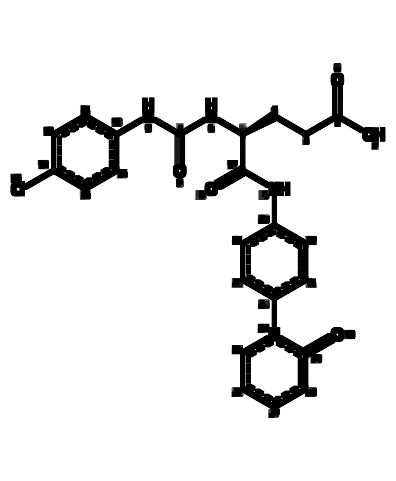 O=C(O)CC[C@H](NC(=O)Nc1ccc(Cl)cc1)C(=O)Nc1ccc(-n2ccccc2=O)cc1